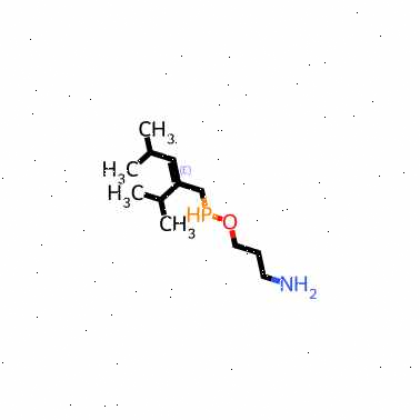 CC(C)/C=C(/CPOCCCN)C(C)C